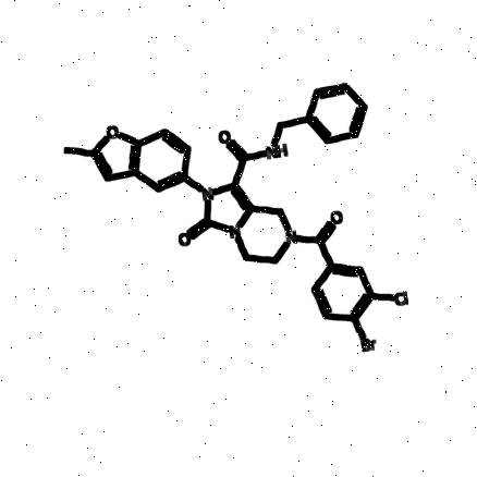 Cc1cc2cc(-n3c(C(=O)NCc4ccccc4)c4n(c3=O)CCN(C(=O)c3ccc(Br)c(Cl)c3)C4)ccc2o1